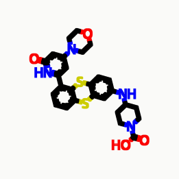 O=C(O)N1CCC(Nc2ccc3c(c2)Sc2cccc(-c4cc(N5CCOCC5)cc(=O)[nH]4)c2S3)CC1